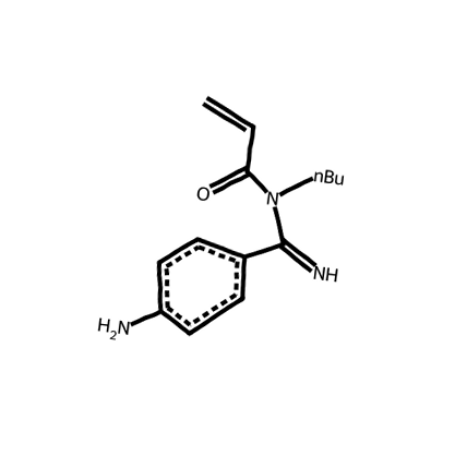 C=CC(=O)N(CCCC)C(=N)c1ccc(N)cc1